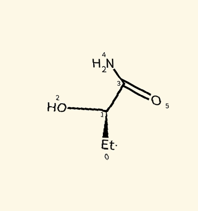 C[CH][C@@H](O)C(N)=O